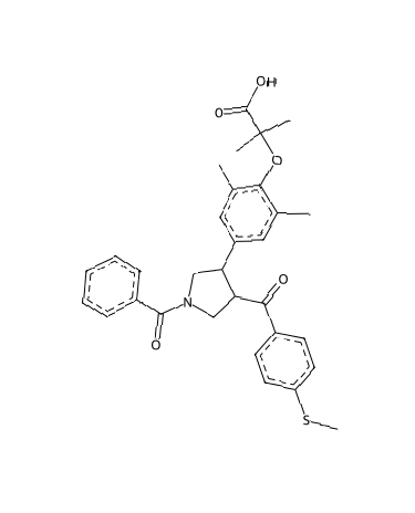 CSc1ccc(C(=O)C2CN(C(=O)c3ccccc3)CC2c2cc(C)c(OC(C)(C)C(=O)O)c(C)c2)cc1